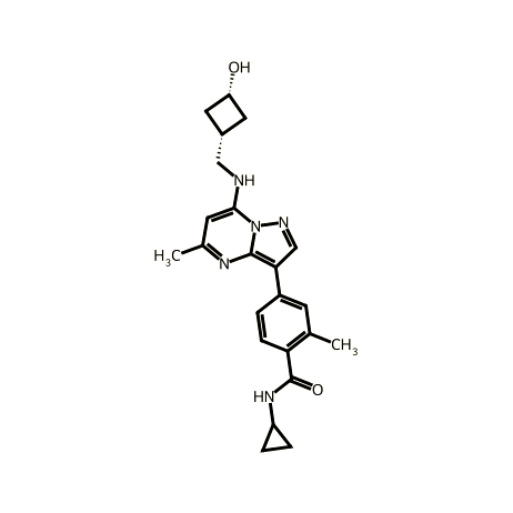 Cc1cc(NC[C@H]2C[C@@H](O)C2)n2ncc(-c3ccc(C(=O)NC4CC4)c(C)c3)c2n1